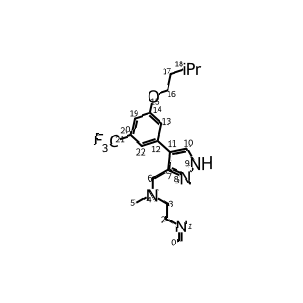 C=NCCN(C)Cc1n[nH]cc1-c1cc(OCCC(C)C)cc(C(F)(F)F)c1